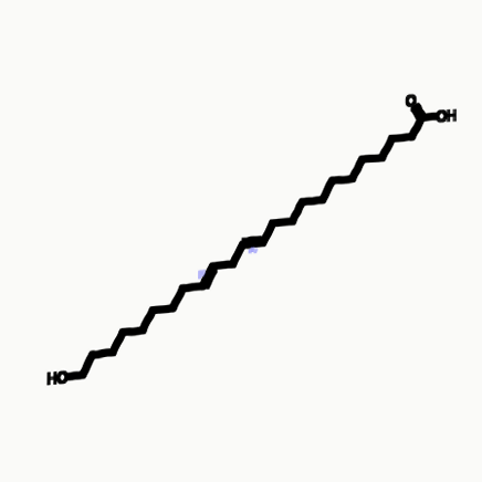 O=C(O)CCCCCCCCCC/C=C/C/C=C/CCCCCCCCO